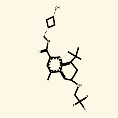 Cc1cc(C(=O)NC[C@H]2C[C@@H](O)C2)nc2c1=CC(NCC(F)(F)F)CC=2C(C)(C)C